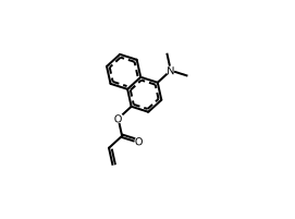 C=CC(=O)Oc1ccc(N(C)C)c2ccccc12